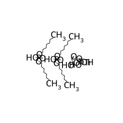 CCCCCCCCOP(=O)(O)OCCCCCCCC.CCCCCCCCOP(=O)(O)OCCCCCCCC.O=CC(=O)O.[O]=[Ti]([OH])[OH].[Ti]